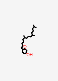 CC(C)CCCC(C)CCCC(C)CCCc1cc2ccc(O)cc2o1